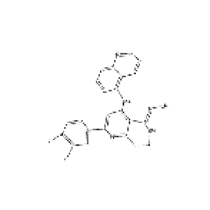 N#C/N=C1\NCCc2nc(-c3ccc(F)c(F)c3)cc(Nc3cccc4ncccc34)c21